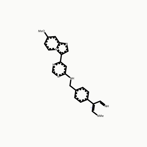 CN/C=C(\C=N)c1ccc(CNc2cc(-c3cnc4cc(OC)ccn34)ncn2)cc1